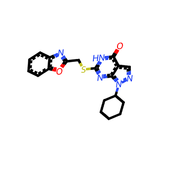 O=c1[nH]c(SCc2nc3ccccc3o2)nc2c1cnn2C1CCCCC1